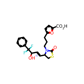 O=C(O)c1ccc(CCCN2C(=O)SCC2/C=C/C(O)C(F)(F)c2ccccc2)o1